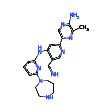 Cc1nc(-c2cc(Nc3cccc(N4CCCNCC4)n3)c(C=N)cn2)cnc1N